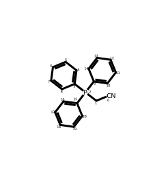 N#CC[P](c1ccccc1)(c1ccccc1)c1ccccc1